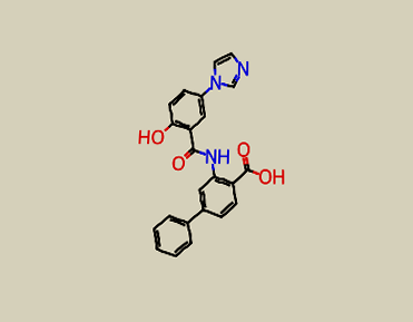 O=C(Nc1cc(-c2ccccc2)ccc1C(=O)O)c1cc(-n2ccnc2)ccc1O